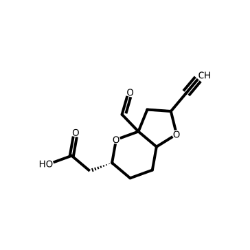 C#CC1CC2(C=O)O[C@@H](CC(=O)O)CCC2O1